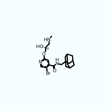 CNC[C@@H](O)COc1cc(C(=O)NCC23CC4CC(CC(C4)C2)C3)c(Br)cn1